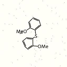 COc1ccccc1Sc1ccccc1OC.[Li]